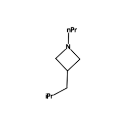 CCCN1CC(CC(C)C)C1